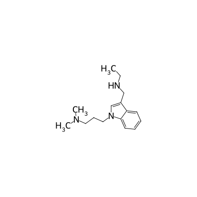 CCNCc1cn(CCCN(C)C)c2ccccc12